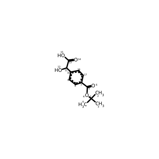 CC(C)(C)OC(=O)c1ccc(C(O)C(=O)O)cc1